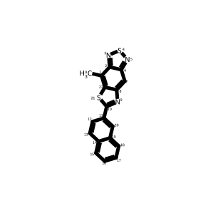 Cc1c2nsnc2cc2nc(-c3ccc4ccccc4c3)sc12